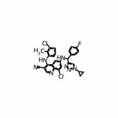 Cc1c(Cl)cccc1Nc1c(C#N)cnc2c(Cl)cc(NC(c3ccc(F)cc3)c3cn(C4CC4)nn3)cc12